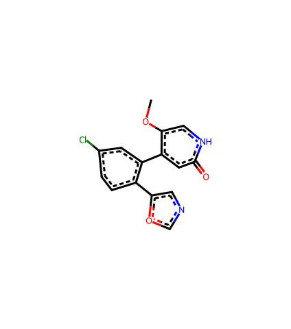 COc1c[nH]c(=O)cc1-c1cc(Cl)ccc1-c1cnco1